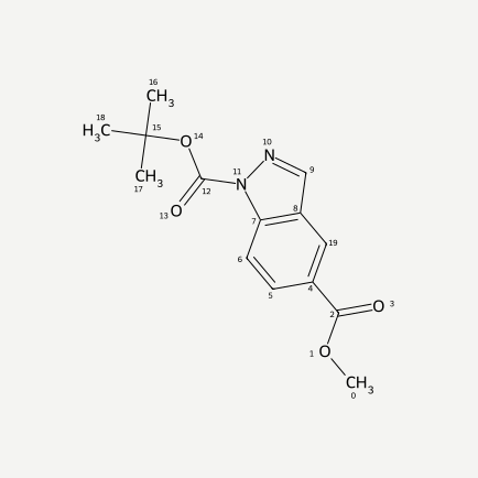 COC(=O)c1ccc2c(cnn2C(=O)OC(C)(C)C)c1